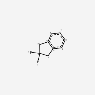 FC1(F)Cc2ccncc2C1